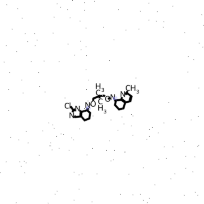 Cc1ccc2c(n1)/C(=N/OCC(C)(C)CO/N=C1\CCCc3cnc(Cl)nc31)CCC2